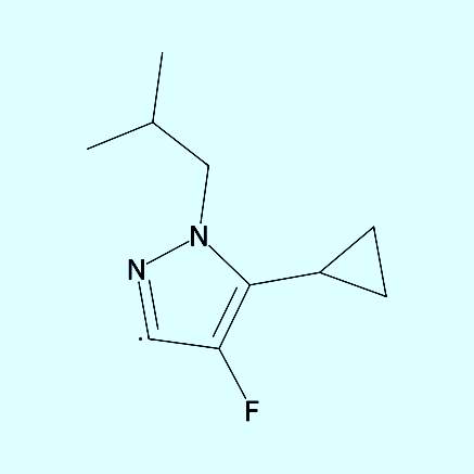 CC(C)Cn1n[c]c(F)c1C1CC1